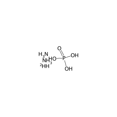 N.N.O=P(O)(O)O.[2HH]